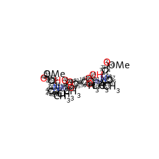 COC(=O)c1ccc(C[N+]2=C(/C=C/C3=C(O)OC4(CCC(C5CCC6(CC5)OC(O)=C(/C=C/C5=[N+](Cc7ccc(C(=O)OC)cc7)c7ccccc7C5(C)C)C(C)O6)CC4)OC3C)C(C)(C)c3ccccc32)cc1